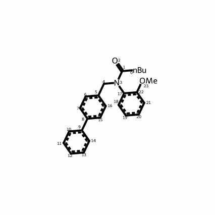 CCCCC(=O)N(Cc1ccc(-c2ccccc2)cc1)c1ccccc1OC